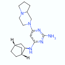 Nc1nc(N[C@@H]2C[C@H]3CC[C@@H]2C3)cc(N2CCN3CCCC3C2)n1